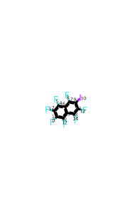 Fc1c(F)c(F)c2c(F)c(I)c(F)c(F)c2c1F